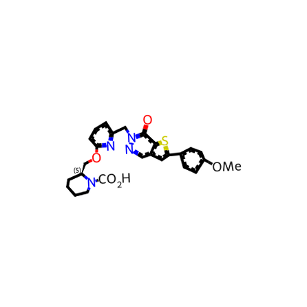 COc1ccc(-c2cc3cnn(Cc4cccc(OC[C@@H]5CCCCN5C(=O)O)n4)c(=O)c3s2)cc1